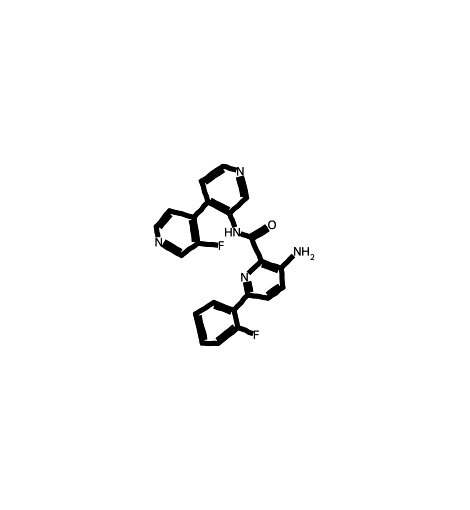 Nc1ccc(-c2ccccc2F)nc1C(=O)Nc1cnccc1-c1ccncc1F